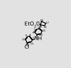 CCOC(=O)C1(c2ccc(Nc3cccc(Cl)c3)cc2)CCC1